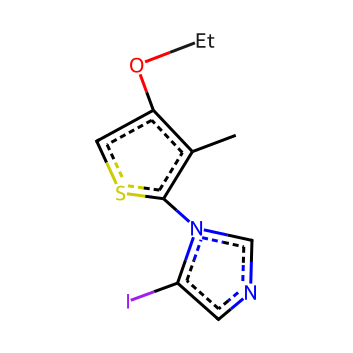 CCOc1csc(-n2cncc2I)c1C